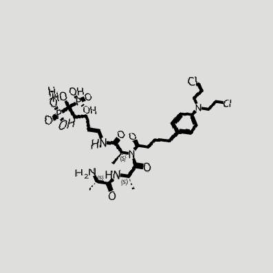 C[C@H](N)C(=O)N[C@@H](C)C(=O)N(C(=O)CCCc1ccc(N(CCCl)CCCl)cc1)[C@@H](C)C(=O)NCCCCC(O)(P(=O)(O)O)P(=O)(O)O